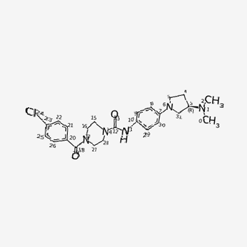 CN(C)[C@@H]1CCN(c2ccc(NC(=O)N3CCN(C(=O)c4ccc(Cl)cc4)CC3)cc2)C1